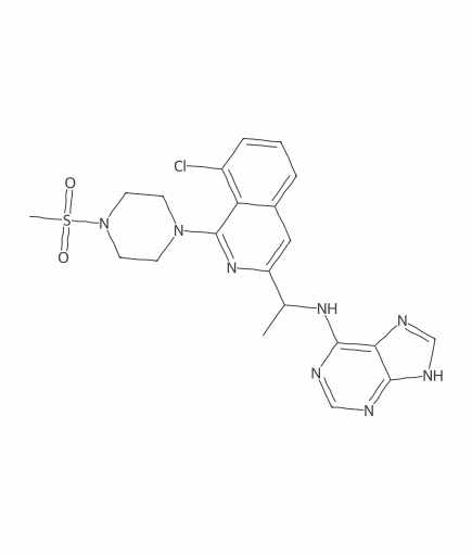 CC(Nc1ncnc2[nH]cnc12)c1cc2cccc(Cl)c2c(N2CCN(S(C)(=O)=O)CC2)n1